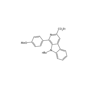 CCCCn1c2ccccc2c2cc(C(=O)OCC)nc(-c3ccc(OC)cc3)c21